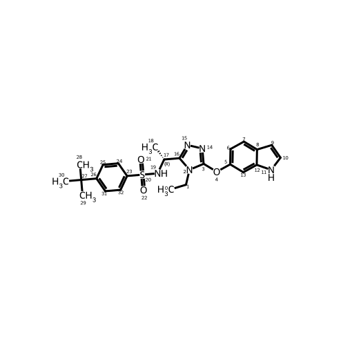 CCn1c(Oc2ccc3cc[nH]c3c2)nnc1[C@@H](C)NS(=O)(=O)c1ccc(C(C)(C)C)cc1